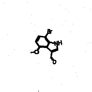 COc1ccc(Br)c2[nH]cc(C=O)c12